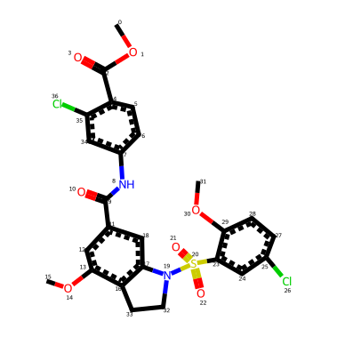 COC(=O)c1ccc(NC(=O)c2cc(OC)c3c(c2)N(S(=O)(=O)c2cc(Cl)ccc2OC)CC3)cc1Cl